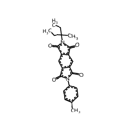 CCC(C)(CC)n1c(=O)c2cc3c(=O)n(-c4ccc(C)cc4)c(=O)c3cc2c1=O